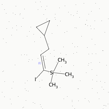 C[Si](C)(C)/C(I)=C\CC1CC1